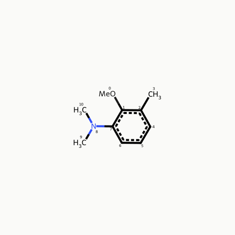 COc1c(C)cccc1N(C)C